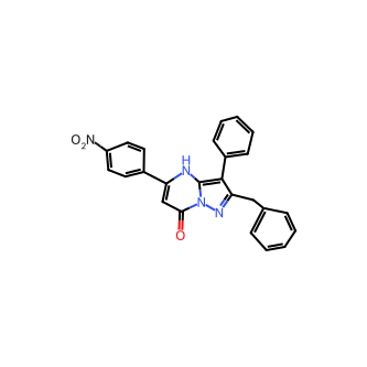 O=c1cc(-c2ccc([N+](=O)[O-])cc2)[nH]c2c(-c3ccccc3)c(Cc3ccccc3)nn12